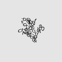 C=CCOCC(COS(=O)(=O)c1ccc(C)cc1)Oc1c(Cl)c(C)c(-n2c(-c3ccc(F)cc3)c(Cl)c3ncnc(OC(Cc4cc(O[Si](C)(C)C(C)(C)C)ccc4OCc4ccnc(-c5ccccc5OC)n4)C(=O)O)c32)c(C)c1Cl